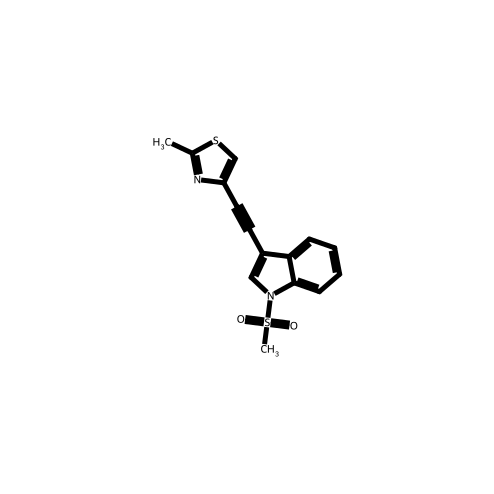 Cc1nc(C#Cc2cn(S(C)(=O)=O)c3ccccc23)cs1